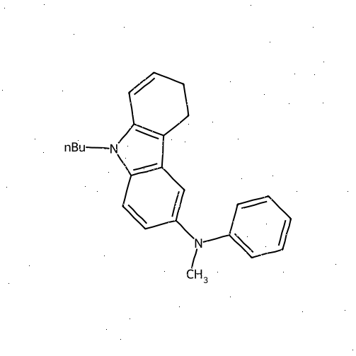 CCCCn1c2c(c3cc(N(C)c4ccccc4)ccc31)CCC=C2